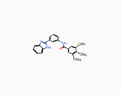 COc1cc(C(=O)Nc2cccc(-c3nc4ccccc4[nH]3)c2)cc(OC)c1OC